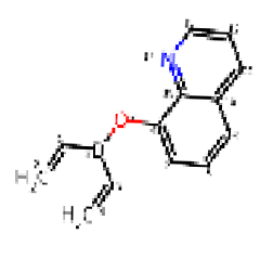 C=CB(C=C)Oc1cccc2cccnc12